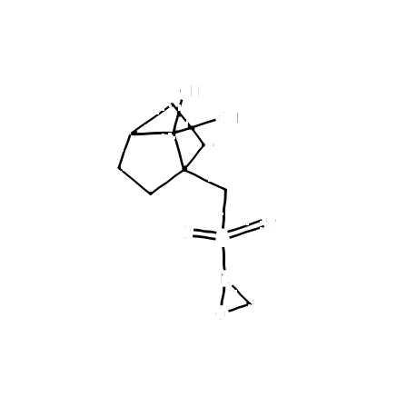 CC1(C)C2CCC1(CS(=O)(=O)N1CO1)CC2